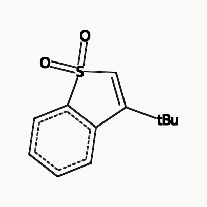 CC(C)(C)C1=CS(=O)(=O)c2ccccc21